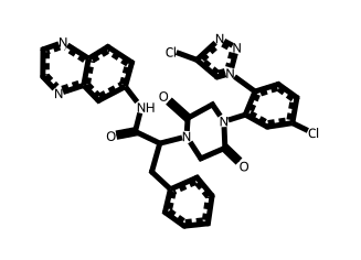 O=C(Nc1ccc2nccnc2c1)C(Cc1ccccc1)N1CC(=O)N(c2cc(Cl)ccc2-n2cc(Cl)nn2)CC1=O